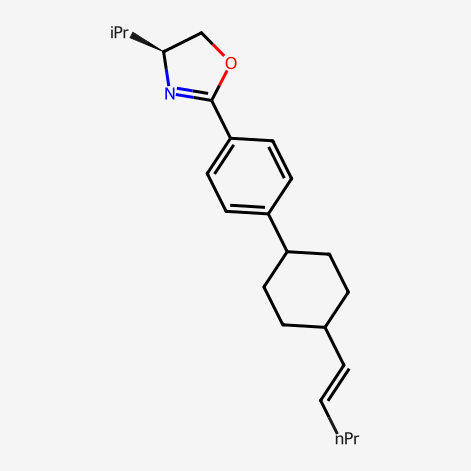 CCC/C=C/C1CCC(c2ccc(C3=N[C@@H](C(C)C)CO3)cc2)CC1